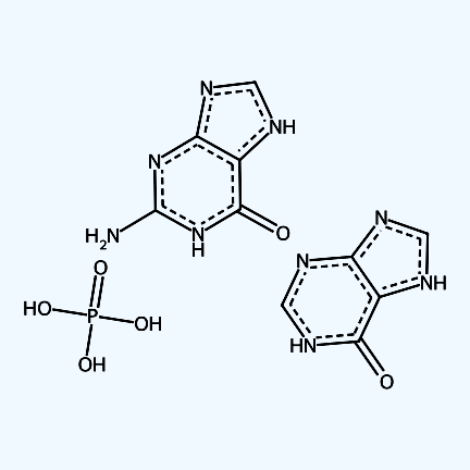 Nc1nc2nc[nH]c2c(=O)[nH]1.O=P(O)(O)O.O=c1[nH]cnc2nc[nH]c12